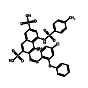 Cc1ccc(S(=O)(=O)Nc2cc(S(=O)(=O)O)cc3cc(S(=O)(=O)O)c(/N=N\c4ccc(Cl)cc4Oc4ccccc4)c(O)c23)cc1